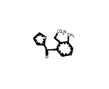 Cc1cccc(C(=O)c2cccs2)c1CC(=O)O